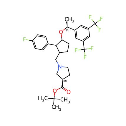 C[C@H](OC1CCC(CN2CC[C@@H](C(=O)OC(C)(C)C)C2)C1c1ccc(F)cc1)c1cc(C(F)(F)F)cc(C(F)(F)F)c1